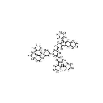 c1ccc(N(c2ccc(-c3cc(-c4ccc5c(c4)c4ccccc4n5-c4ccccc4)cc(-c4ccc5c(c4)c4cc6ccccc6cc4n5-c4ccccc4)c3)cc2)c2cccc3ccccc23)cc1